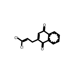 O=C1C=C(CC=C(Cl)Cl)C(=O)c2ccccc21